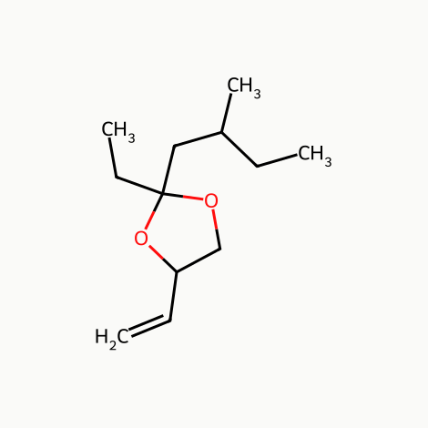 C=CC1COC(CC)(CC(C)CC)O1